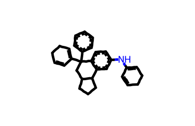 C1=CC(Nc2ccc3c(c2)C2CCCC2CC3(C2=CCCC=C2)c2ccccc2)=CCC1